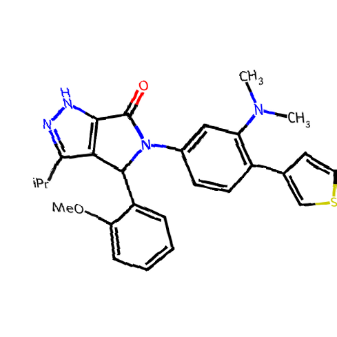 COc1ccccc1C1c2c(C(C)C)n[nH]c2C(=O)N1c1ccc(-c2ccsc2)c(N(C)C)c1